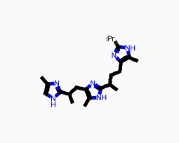 Cc1c[nH]c(C(C)Cc2nc(C(C)CCc3nc(C(C)C)[nH]c3C)[nH]c2C)n1